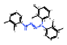 Cc1cccc(NN=NN(c2cccc(C)c2C)c2cccc(C)c2C)c1C